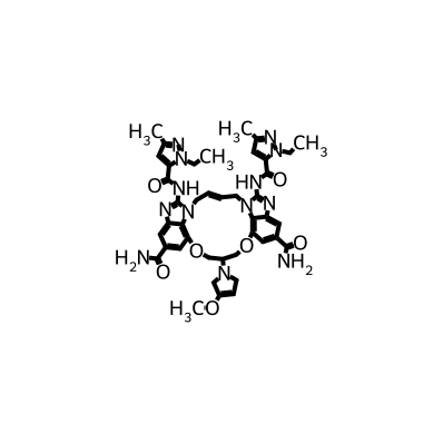 CCn1nc(C)cc1C(=O)Nc1nc2cc(C(N)=O)cc3c2n1C/C=C/Cn1c(NC(=O)c2cc(C)nn2CC)nc2cc(C(N)=O)cc(c21)OCC(N1CC=C(OC)C1)CO3